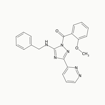 COc1ccccc1C(=O)n1nc(-c2cccnn2)nc1NCc1ccccc1